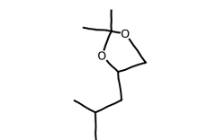 CC(C)CC1COC(C)(C)O1